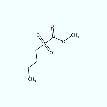 CCCCS(=O)(=O)C(=O)OC